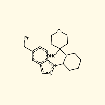 CC(C)Cc1ccc2c(cnn2C2CCCCN2C2(C=O)CCOCC2)c1